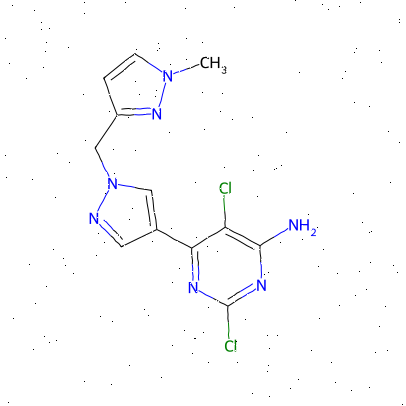 Cn1ccc(Cn2cc(-c3nc(Cl)nc(N)c3Cl)cn2)n1